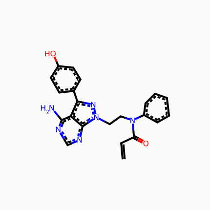 C=CC(=O)N(CCn1nc(-c2ccc(O)cc2)c2c(N)ncnc21)c1ccccc1